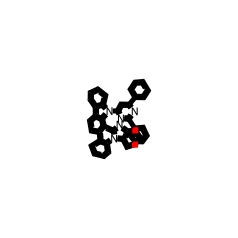 c1ccc(-c2cc(-n3c4ccccc4c4ccc5c6ccccc6n6c7ccccc7nc6c5c43)nc(-c3ccccc3)n2)cc1